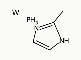 Cc1ncc[nH]1.P.[W]